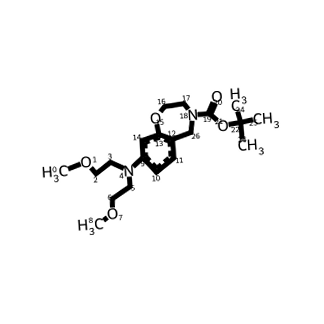 COCCN(CCOC)c1ccc2c(c1)OCCN(C(=O)OC(C)(C)C)C2